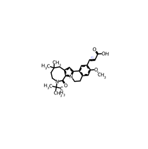 COc1cc2c(cc1/C=C/C(=O)O)-c1cc3c(n1CC2)C(=O)N(C(C)(C)C)CCC(C)(C)C3